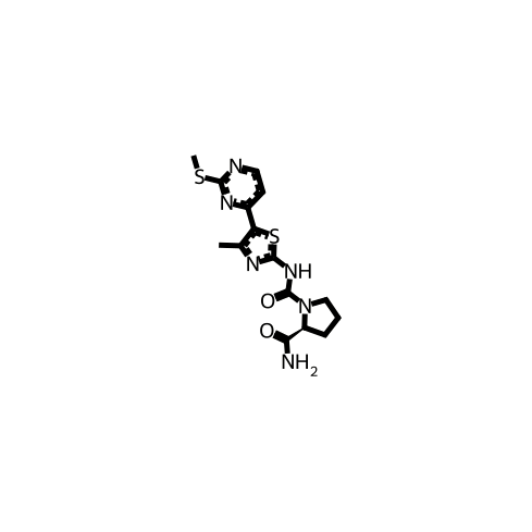 CSc1nccc(-c2sc(NC(=O)N3CCC[C@H]3C(N)=O)nc2C)n1